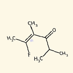 C/C(F)=C(\C)C(=O)C(C)C